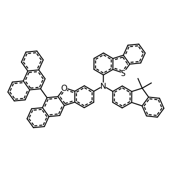 CC1(C)c2ccccc2-c2ccc(N(c3ccc4c(c3)oc3c(-c5cc6ccccc6c6ccccc56)c5ccccc5cc34)c3cccc4c3sc3ccccc34)cc21